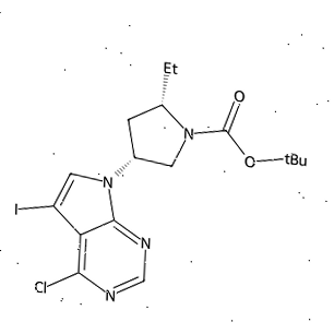 CC[C@H]1C[C@@H](n2cc(I)c3c(Cl)ncnc32)CN1C(=O)OC(C)(C)C